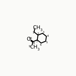 CCC1CCCCC1C(C)=O